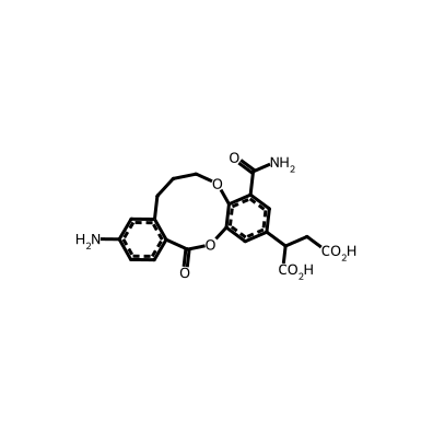 NC(=O)c1cc(C(CC(=O)O)C(=O)O)cc2c1OCCCc1cc(N)ccc1C(=O)O2